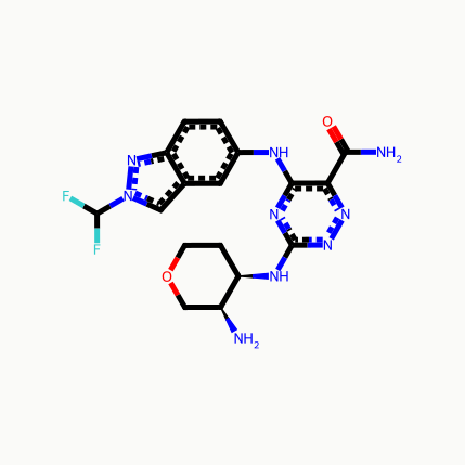 NC(=O)c1nnc(N[C@@H]2CCOC[C@@H]2N)nc1Nc1ccc2nn(C(F)F)cc2c1